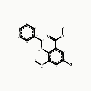 COC(=O)c1cc(Cl)cc(OC)c1SCc1ccccc1